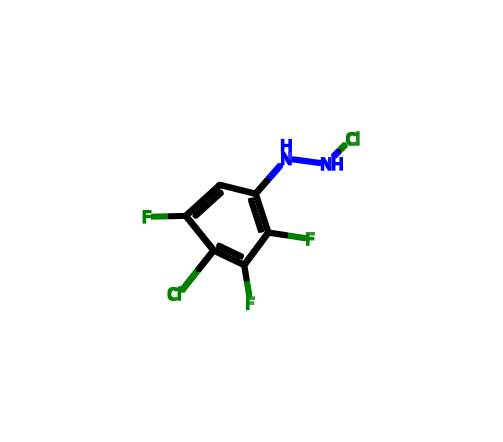 Fc1cc(NNCl)c(F)c(F)c1Cl